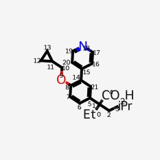 CCC(CC(C)C)(C(=O)O)c1ccc(OCC2CC2)c(-c2ccncc2)c1